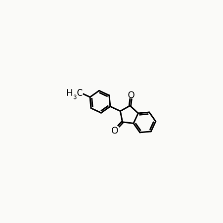 Cc1ccc(C2C(=O)c3ccccc3C2=O)cc1